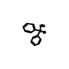 CCCC[Si]([O])(c1ccccc1)c1ccccc1